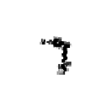 C=C(CCCCCNC(=O)CS)Nc1ccc(OC)cn1